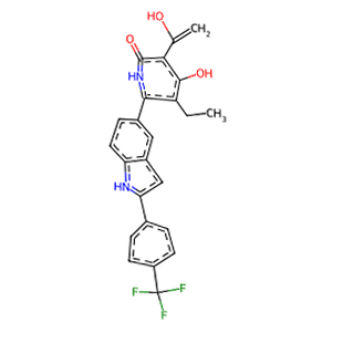 C=C(O)c1c(O)c(CC)c(-c2ccc3[nH]c(-c4ccc(C(F)(F)F)cc4)cc3c2)[nH]c1=O